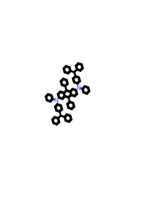 c1ccc(-c2c3ccc(N(c4ccccc4)c4ccc(C(c5ccccc5)c5ccccc5)cc4)cc3c(-c3ccccc3)c3ccc(N(c4ccccc4)c4ccc(C(c5ccccc5)c5ccccc5)cc4)cc23)cc1